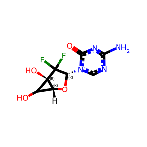 Nc1ncn([C@@H]2O[C@@H]3C(O)[C@]3(O)C2(F)F)c(=O)n1